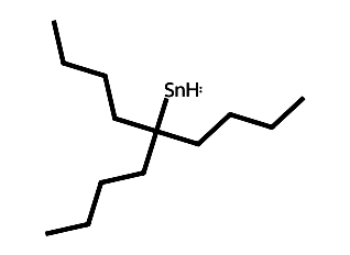 CCCC[C]([SnH])(CCCC)CCCC